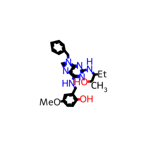 CCC(Nc1nc(NCc2cc(OC)ccc2O)c2ncn(Cc3ccccc3)c2n1)C(C)O